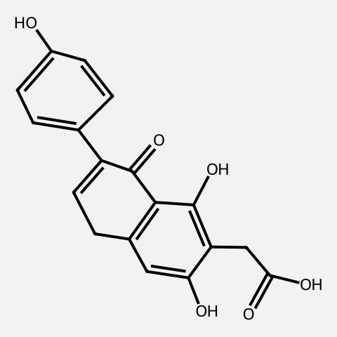 O=C(O)Cc1c(O)cc2c(c1O)C(=O)C(c1ccc(O)cc1)=CC2